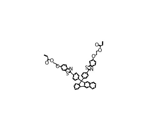 C=CC(=O)OCCOc1ccc2nc(-c3ccc(C4(c5ccc(-c6nc7ccc(OCCOC(=O)C=C)cc7s6)cc5)c5ccccc5-c5cc6ccccc6cc54)cc3)sc2c1